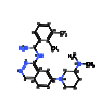 Cc1c([C@@H](N)Nc2nncc3ccc(N4CCCC(N(C)C)C4)cc23)cccc1C(F)(F)F